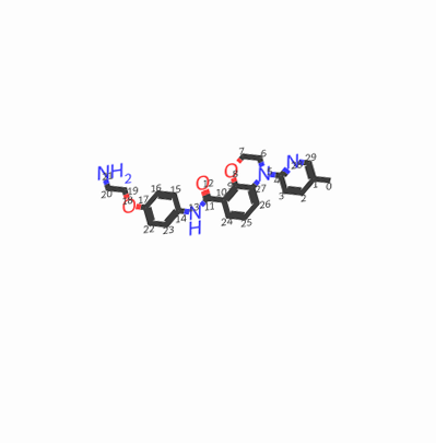 Cc1ccc(N2CCOc3c(C(=O)Nc4ccc(OCCN)cc4)cccc32)nc1